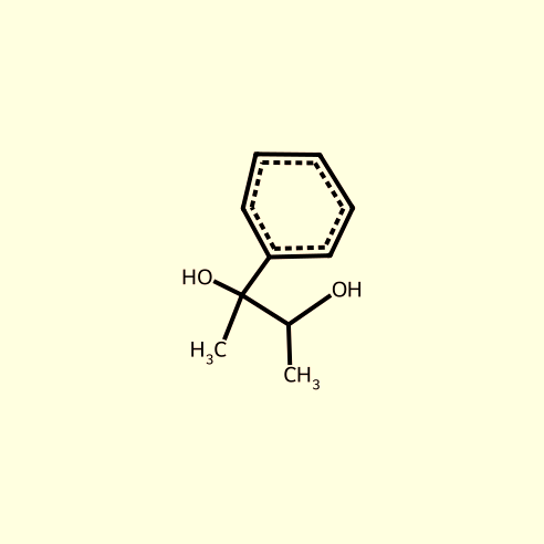 CC(O)C(C)(O)c1ccccc1